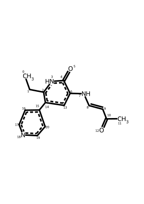 CCc1[nH]c(=O)c(NC=CC(C)=O)cc1-c1ccncc1